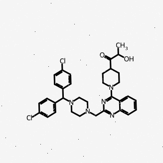 CC(O)C(=O)C1CCN(c2nc(CN3CCN(C(c4ccc(Cl)cc4)c4ccc(Cl)cc4)CC3)nc3ccccc23)CC1